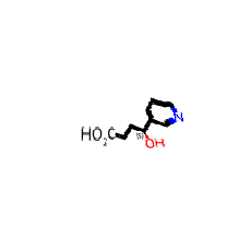 O=C(O)CC[C@H](O)c1cccnc1